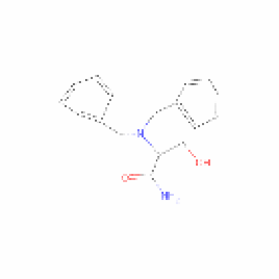 NC(=O)C(CO)N(Cc1ccccc1)Cc1ccccc1